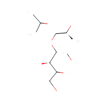 CC(C)O[C@@H](O[C@H](CO)[C@H](O)C(O)CO)[C@H](C)O